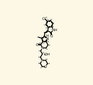 Cc1c(/C=C2\C(=O)Nc3ccc(Cl)cc32)[nH]c2c1C(=O)N(C[C@H](O)CN1CCOCC1)CC2